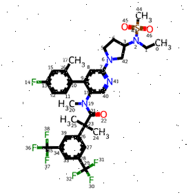 CCN(C1CCN(c2cc(-c3ccc(F)cc3C)c(N(C)C(=O)C(C)(C)c3cc(C(F)(F)F)cc(C(F)(F)F)c3)cn2)C1)S(C)(=O)=O